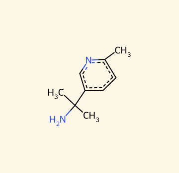 Cc1ccc(C(C)(C)N)cn1